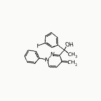 C=C1C=CN(c2ccccc2)N=C1C(C)(O)c1cccc(I)c1